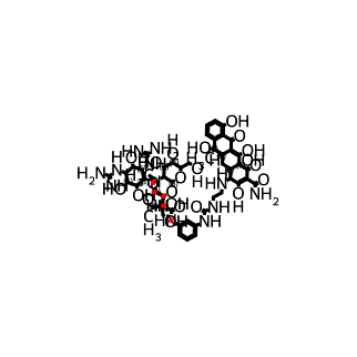 C[C@@H]1O[C@@H](O[C@@H]2C(O)[C@@H](O)C(NC(=N)N)C(O)[C@@H]2NC(=N)N)C(O[C@@H]2OC(CO)[C@H](O)[C@H](O)C2N(C)CCNC(=O)Nc2cccc(NC(=O)NCCNC3C(O)=C(C(N)=O)C(=O)[C@@]4(O)C(O)=C5C(=O)c6c(O)cccc6[C@@](C)(O)[C@H]5C[C@@H]34)c2)[C@]1(O)CO